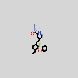 C=Cc1ccc([CH]Cc2ccnc(C(N)=O)c2)c(F)c1Oc1ccccc1